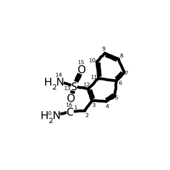 NCCc1ccc2ccccc2c1S(N)(=O)=O